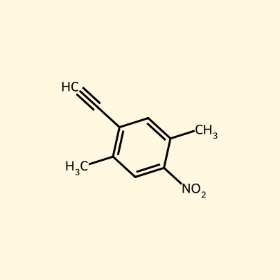 C#Cc1cc(C)c([N+](=O)[O-])cc1C